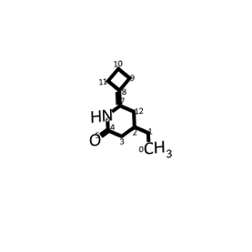 CCC1CC(=O)NC(=C2CCC2)C1